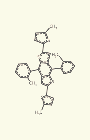 Cc1ccc(-c2cc3c(-c4ccccc4C)c4sc(-c5ccc(C)s5)cc4c(-c4ccccc4C)c3s2)s1